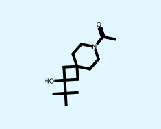 CC(=O)N1CCC2(CC1)CC(O)(C(C)(C)C)C2